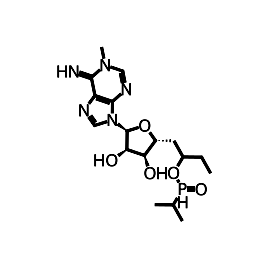 CCC(C[C@H]1O[C@H](n2cnc3c(=N)n(C)cnc32)[C@H](O)[C@@H]1O)O[PH](=O)C(C)C